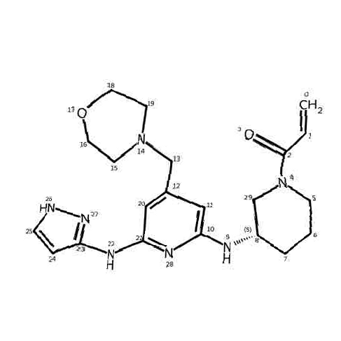 C=CC(=O)N1CCC[C@H](Nc2cc(CN3CCOCC3)cc(Nc3cc[nH]n3)n2)C1